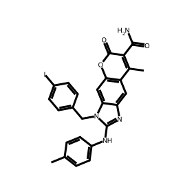 Cc1ccc(Nc2nc3cc4c(C)c(C(N)=O)c(=O)oc4cc3n2Cc2ccc(I)cc2)cc1